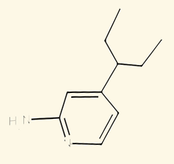 CCC(CC)c1ccnc(N)c1